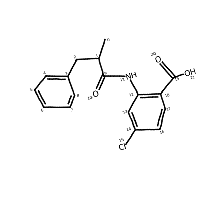 CC(Cc1ccccc1)C(=O)Nc1cc(Cl)ccc1C(=O)O